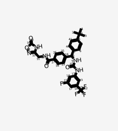 CC(C)(C)c1ccc(C(NC(=O)Nc2cc(F)cc(C(F)(F)F)c2)c2ccc(C(=O)NCc3noc(=O)[nH]3)cc2)cc1